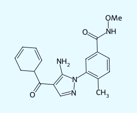 CONC(=O)c1ccc(C)c(-n2ncc(C(=O)C3C=CC=CC3)c2N)c1